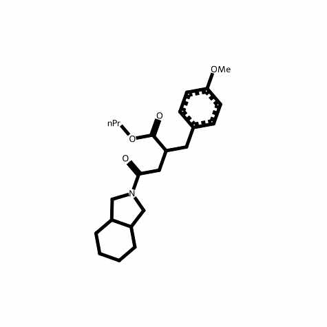 CCCOC(=O)C(CC(=O)N1CC2CCCCC2C1)Cc1ccc(OC)cc1